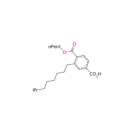 CCCCCOC(=O)c1ccc(C(=O)O)cc1CCCCCCC(C)C